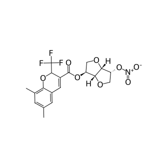 Cc1cc(C)c2c(c1)C=C(C(=O)O[C@H]1CO[C@H]3[C@@H]1OC[C@H]3O[N+](=O)[O-])C(C(F)(F)F)O2